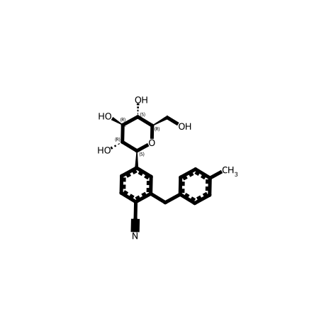 Cc1ccc(Cc2cc([C@@H]3O[C@H](CO)[C@@H](O)[C@H](O)[C@H]3O)ccc2C#N)cc1